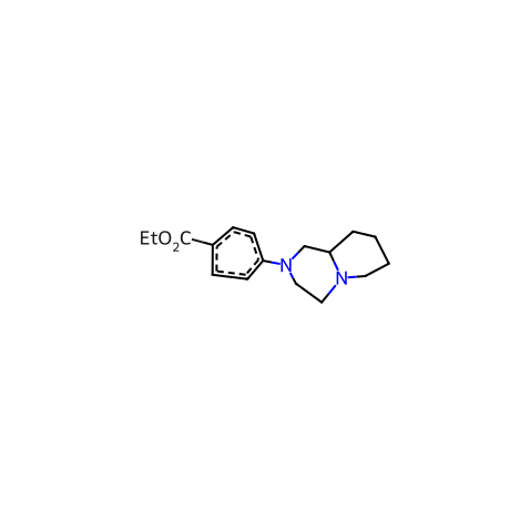 CCOC(=O)c1ccc(N2CCN3CCCCC3C2)cc1